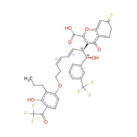 CCCc1c(OCC/C=C\C=C\[C@@H](c2c(C(=O)O)oc3c(c2=O)=CCC(=S)C=3)[C@@H](O)c2cccc(C(F)(F)F)c2)ccc(C(=O)C(F)(F)F)c1O